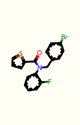 O=C(c1cccs1)N(Cc1ccc(Br)cc1)c1ccccc1F